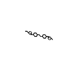 CCCOCC1CCC(CCC2CCC(COCC)CC2)CC1